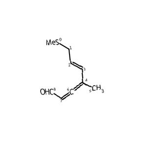 CSCC=CC(C)=C=CC=O